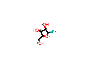 OCC1OC(F)C(O)C1O